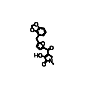 CN1CC(C(=O)c2ccc(Cc3cccc4c3OCO4)o2)=C(O)C1=O